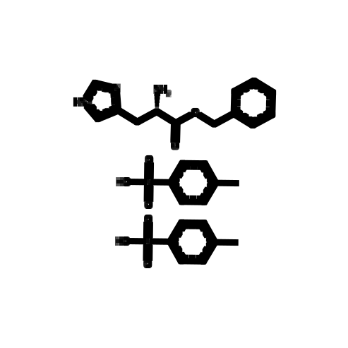 Cc1ccc(S(=O)(=O)O)cc1.Cc1ccc(S(=O)(=O)O)cc1.N[C@@H](Cc1c[nH]cn1)C(=O)OCc1ccccc1